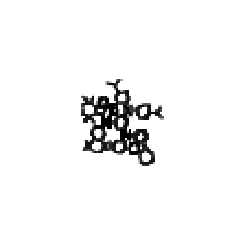 CC(C)c1ccc(N2c3ccc(C(C)C)cc3B3c4oc5c(c4N(c4ccc6c(c4)C(C)(C)CCC6(C)C)c4cc(N(c6ccccc6)c6cccc7c6oc6ccccc67)cc2c43)C(C)(C)CCC5(C)C)cc1